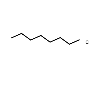 CCCCCCCC.[C]